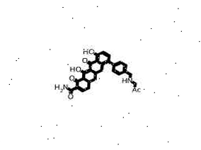 CC(=O)CNCc1ccc(-c2ccc(O)c3c2CC2CC4CC=C(C(N)=O)C(=O)C4C(O)=C2C3=O)cc1